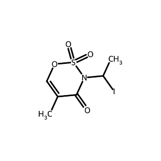 CC1=COS(=O)(=O)N(C(C)I)C1=O